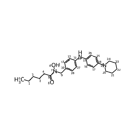 CCCCCC(=O)N(O)Cc1ccc(Nc2ccc(N3CCCCC3)cc2)cc1